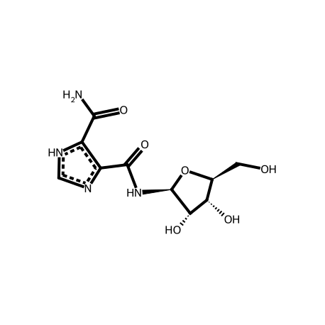 NC(=O)c1[nH]cnc1C(=O)N[C@H]1O[C@@H](CO)[C@H](O)[C@@H]1O